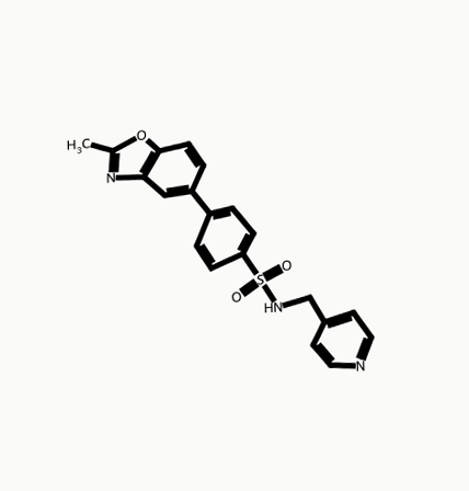 Cc1nc2cc(-c3ccc(S(=O)(=O)NCc4ccncc4)cc3)ccc2o1